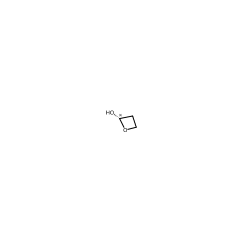 O[C@@H]1CCO1